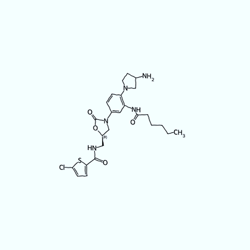 CCCCCC(=O)Nc1cc(N2C[C@@H](CNC(=O)c3ccc(Cl)s3)OC2=O)ccc1N1CCC(N)C1